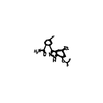 CCc1cc(OC(F)F)c2[nH]nc(-c3cc(F)ccc3C(N)=O)c2c1